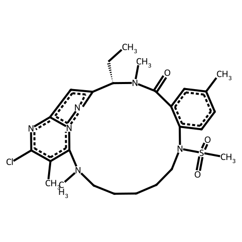 CC[C@H]1c2cc3nc(Cl)c(C)c(n3n2)N(C)CCCCCN(S(C)(=O)=O)c2ccc(C)cc2C(=O)N1C